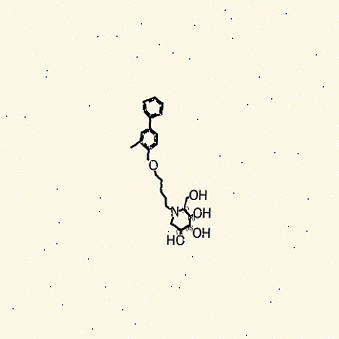 Cc1cc(-c2ccccc2)ccc1COCCCCCN1C[C@H](O)[C@@H](O)[C@H](O)[C@@H]1CO